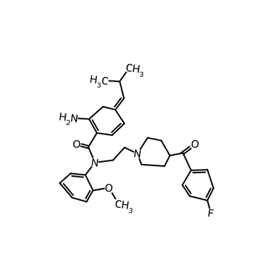 COc1ccccc1N(CCN1CCC(C(=O)c2ccc(F)cc2)CC1)C(=O)C1=C(N)CC(=CC(C)C)C=C1